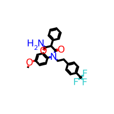 COc1ccc(N(CCc2ccc(C(F)(F)F)cc2)C(=O)C(C(N)=O)c2ccccc2)cc1